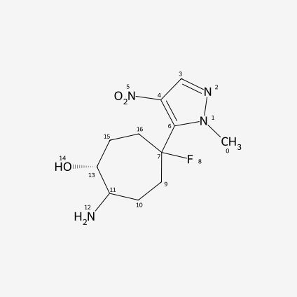 Cn1ncc([N+](=O)[O-])c1C1(F)CCC(N)[C@H](O)CC1